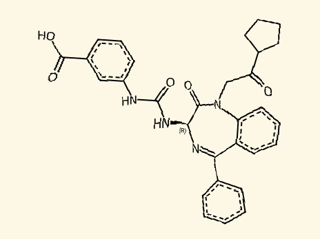 O=C(Nc1cccc(C(=O)O)c1)N[C@@H]1N=C(c2ccccc2)c2ccccc2N(CC(=O)C2CCCC2)C1=O